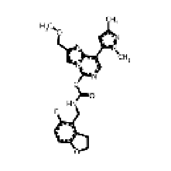 COCc1cn2c(OC(=O)NCc3c(F)ccc4c3CCO4)ncc(-c3cc(C)nn3C)c2n1